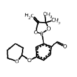 C=C1OB(c2cc(OC3CCCCO3)ccc2C=O)OC1(C)C